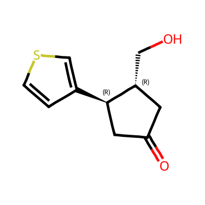 O=C1C[C@@H](CO)[C@H](c2ccsc2)C1